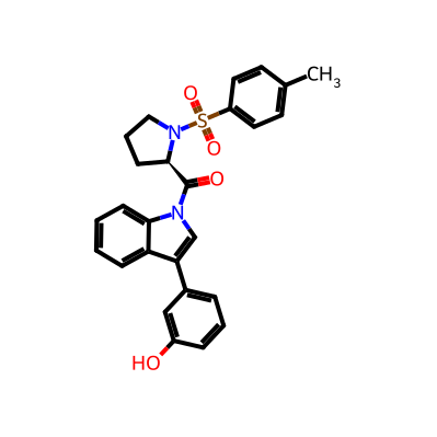 Cc1ccc(S(=O)(=O)N2CCC[C@@H]2C(=O)n2cc(-c3cccc(O)c3)c3ccccc32)cc1